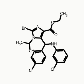 CCOC(=O)c1nc(Br)n(C(C)C)c1C(Nc1cccc(Cl)c1)c1ccc(Cl)cc1